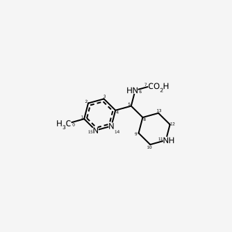 Cc1ccc(C(NC(=O)O)C2CCNCC2)nn1